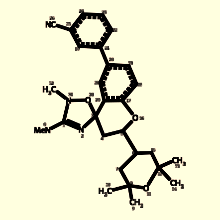 CNC1=NC2(CC(C3CC(C)(C)OC(C)(C)C3)Oc3ccc(-c4cccc(C#N)c4)cc32)ON1C